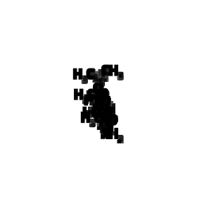 CCCC(CCC)COC(=O)[C@H](C)NP1(=O)OC[C@H]2O[C@@H](n3ccc(N)nc3=O)[C@](C)(O)[C@@H]2O1